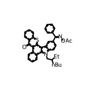 CCCCC(CC)Cn1c2ccc(/C(=N\OC(C)=O)c3ccccc3)cc2c2c3sc4ccccc4c(=O)c3c3ccccc3c21